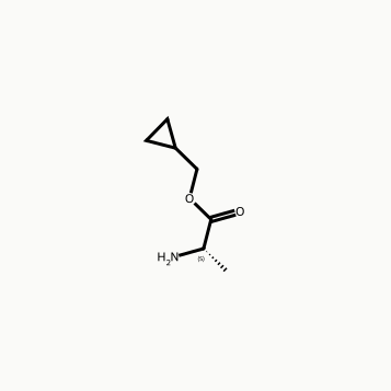 C[C@H](N)C(=O)OCC1CC1